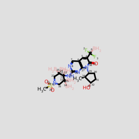 BC(F)(F)c1cc2cnc(NC3(B)C(B)(B)CN(S(C)(=O)=O)CC3(B)B)nc2n([C@H]2CC[C@H](O)[C@H]2C)c1=O